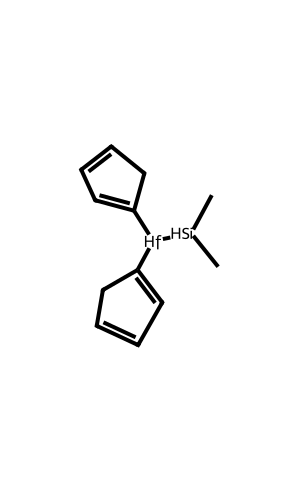 C[SiH](C)[Hf]([C]1=CC=CC1)[C]1=CC=CC1